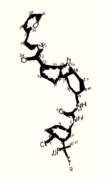 O=C(Nc1ccc(Cl)c(C(F)(F)F)c1)NC1CCc2[nH]c3cc(C(=O)N=Cc4ccco4)ccc3c2C1